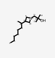 CCCCCCC(C)C1CN(CC(C)(C)O)C1